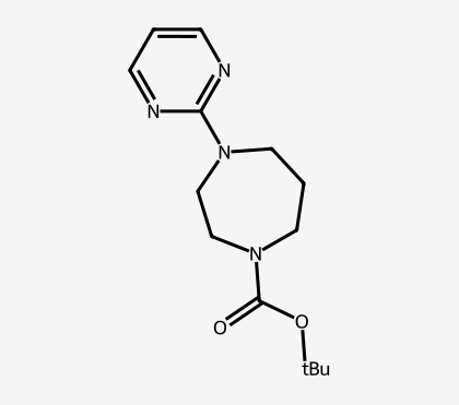 CC(C)(C)OC(=O)N1CCCN(c2ncccn2)CC1